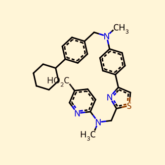 CN(Cc1ccc(C2CCCCC2)cc1)c1ccc(-c2csc(CN(C)c3ccc(C(=O)O)cn3)n2)cc1